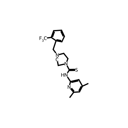 Cc1cc(C)nc(NC(=S)N2CCN(Cc3ccccc3C(F)(F)F)CC2)c1